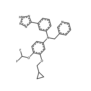 FC(F)Oc1ccc(N(Cc2cccnc2)c2cccc(-c3nn[nH]n3)c2)cc1OCC1CC1